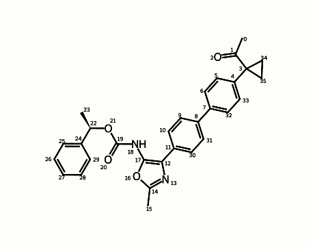 CC(=O)C1(c2ccc(-c3ccc(-c4nc(C)oc4NC(=O)O[C@H](C)c4ccccc4)cc3)cc2)CC1